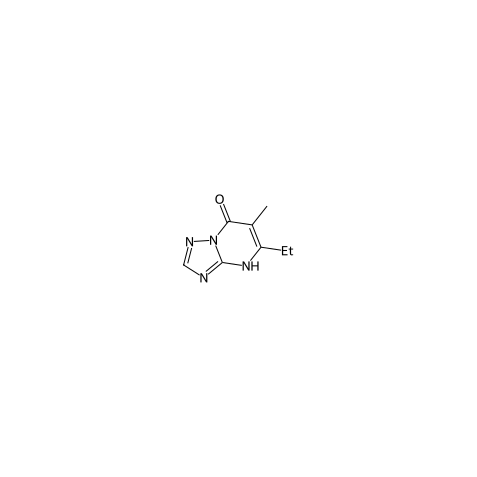 CCc1[nH]c2ncnn2c(=O)c1C